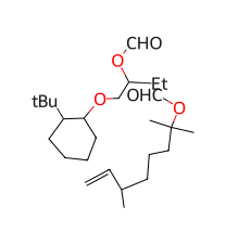 C=CC(C)CCCC(C)(C)OC=O.CCC(COC1CCCCC1C(C)(C)C)OC=O